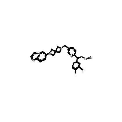 CCON=C(c1ccc(F)c(F)c1)c1ccc(CN2CC3(C2)CN(c2ccc4nccn4c2)C3)cn1